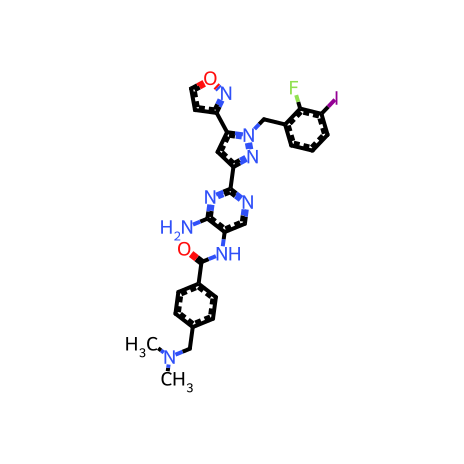 CN(C)Cc1ccc(C(=O)Nc2cnc(-c3cc(-c4ccon4)n(Cc4cccc(I)c4F)n3)nc2N)cc1